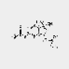 CC(=O)OC1CC(C)(C)c2ccc(CC(N)=O)cc21